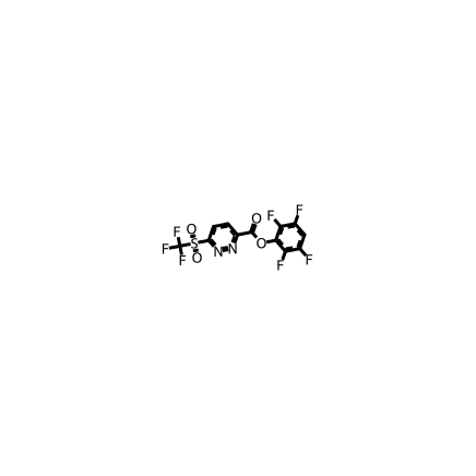 O=C(Oc1c(F)c(F)cc(F)c1F)c1ccc(S(=O)(=O)C(F)(F)F)nn1